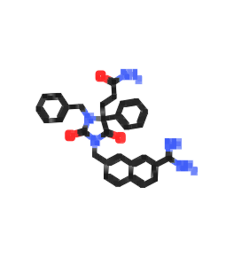 N=C(N)c1ccc2ccc(CN3C(=O)N(Cc4ccccc4)C(CCC(N)=O)(c4ccccc4)C3=O)cc2c1